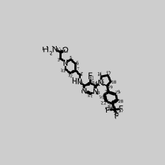 NC(=O)CN1CCC(CNc2ncnc(N3CCCC3c3ccc(C(F)(F)F)cc3)c2F)CC1